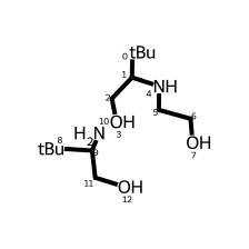 CC(C)(C)C(CO)NCCO.CC(C)(C)C(N)CO